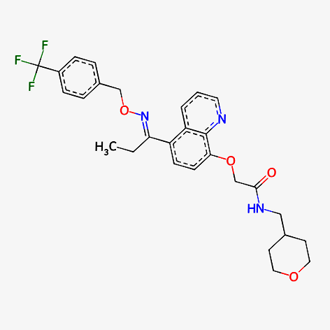 CCC(=NOCc1ccc(C(F)(F)F)cc1)c1ccc(OCC(=O)NCC2CCOCC2)c2ncccc12